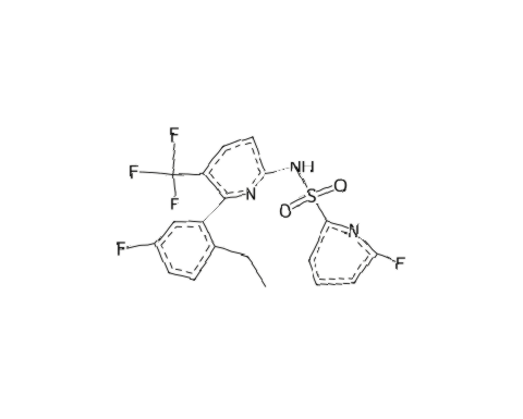 CCc1ccc(F)cc1-c1nc(NS(=O)(=O)c2cccc(F)n2)ccc1C(F)(F)F